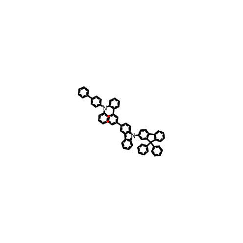 c1ccc(-c2ccc(N(c3ccccc3)c3ccccc3-c3cccc(-c4ccc5c(c4)c4ccccc4n5-c4ccc5c(c4)C(c4ccccc4)(c4ccccc4)c4ccccc4-5)c3)cc2)cc1